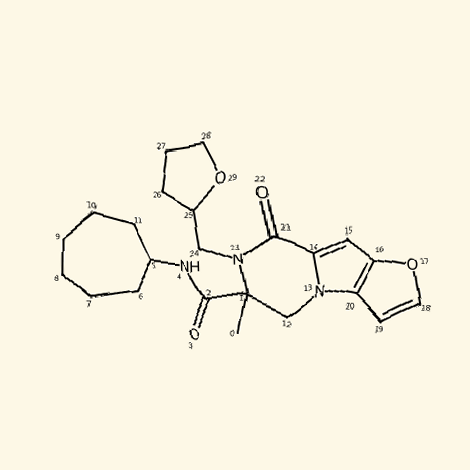 CC1(C(=O)NC2CCCCCC2)Cn2c(cc3occc32)C(=O)N1CC1CCCO1